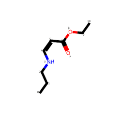 CCCN/C=C\C(=O)OCC